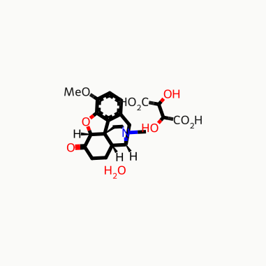 COc1ccc2c3c1O[C@H]1C(=O)CC[C@H]4[C@@H](C2)N(C)CC[C@]314.O.O=C(O)C(O)C(O)C(=O)O